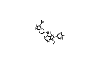 CCn1c(-c2cnc(C)nc2)nc2c(N[C@@H]3CCc4nnc(C5CC5)n4C3)ncnc21